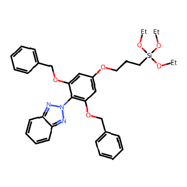 CCO[Si](CCCOc1cc(OCc2ccccc2)c(-n2nc3ccccc3n2)c(OCc2ccccc2)c1)(OCC)OCC